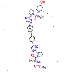 COC(=O)N[C@H](C(=O)N1CCC[C@H]1c1ncc(-c2ccc(C34CCC(c5cnc([C@@H]6CCCN6C(=O)[C@H](C(C)C)N6CCC(O)CC6)[nH]5)(CC3)CC4)cc2)[nH]1)C(C)C